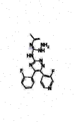 C=C(C)/N=C(\NN)Nc1nnc(-c2ccncc2F)c(-c2ccccc2F)n1